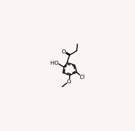 CCC(=O)c1cc(Cl)c(OC)cc1O